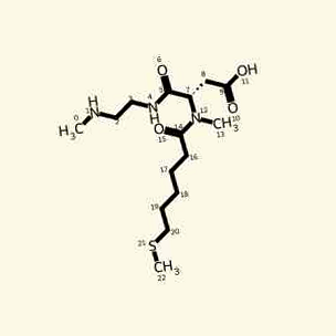 CNCCNC(=O)[C@H](CC(=O)O)N(C)C(=O)CCCCCSC